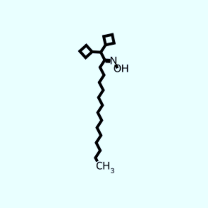 CCCCCCCCCCCCCCC(=NO)C(C1CCC1)C1CCC1